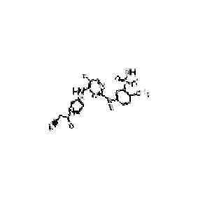 Cc1ccc(Nc2ncc(F)c(N[C@@H]3CCN(C(=O)CC#N)C3)n2)cc1S(N)(=O)=O